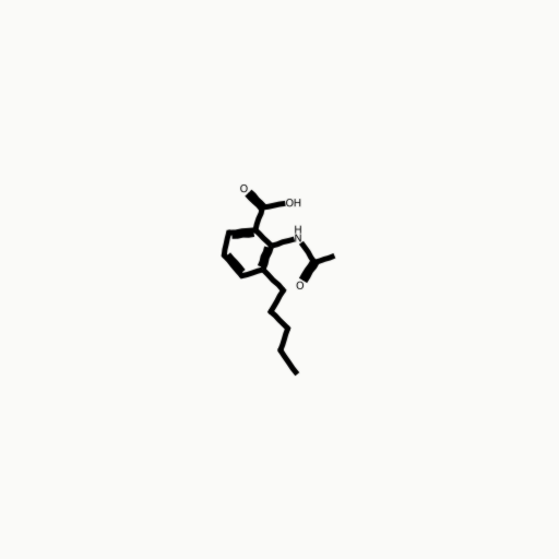 CCCCCc1cccc(C(=O)O)c1NC(C)=O